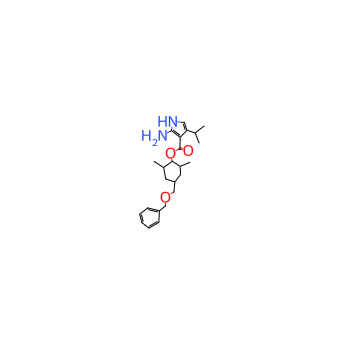 CC(C)c1c[nH]c(N)c1C(=O)OC1C(C)CC(COCc2ccccc2)CC1C